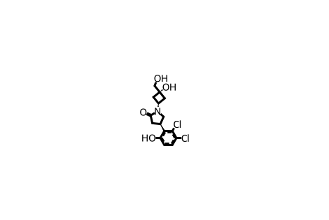 O=C1C[C@H](c2c(O)ccc(Cl)c2Cl)CN1[C@H]1C[C@](O)(CO)C1